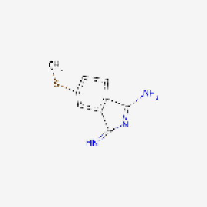 CSc1ccc2c(c1)C(=N)N=C2N